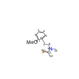 COc1ccccc1CCN(C)C(C)=S